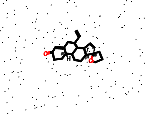 C=CC1CC2=CC(=O)CC[C@@H]2C2CC[C@@]3(C)C(CC[C@@]34CCCO4)C12